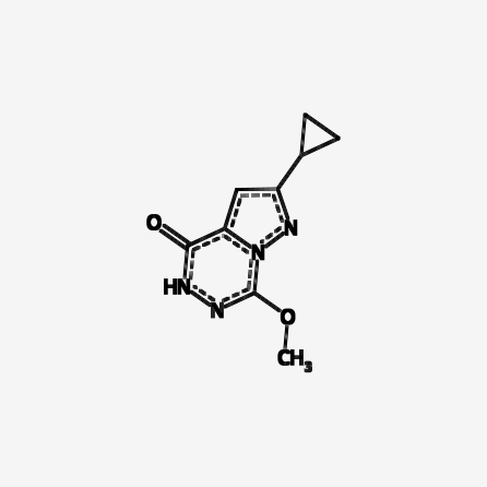 COc1n[nH]c(=O)c2cc(C3CC3)nn12